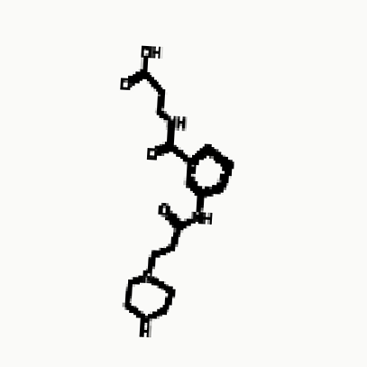 O=C(O)CCNC(=O)c1cccc(NC(=O)CCN2CCNCC2)c1